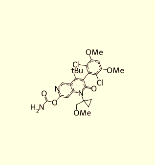 COCC1(n2c(=O)c(-c3c(Cl)c(OC)cc(OC)c3Cl)c(C(C)(C)C)c3cnc(OC(N)=O)cc32)CC1